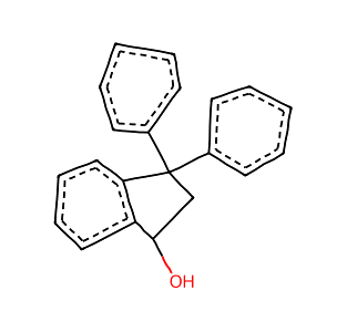 OC1CC(c2ccccc2)(c2ccccc2)c2ccccc21